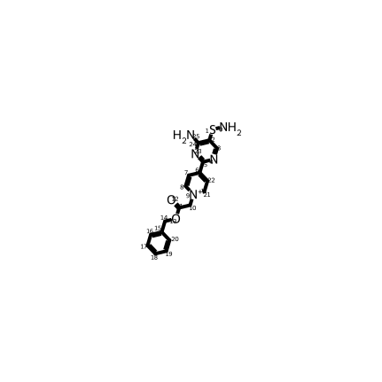 NSc1cnc(-c2cc[n+](CC(=O)OCc3ccccc3)cc2)nc1N